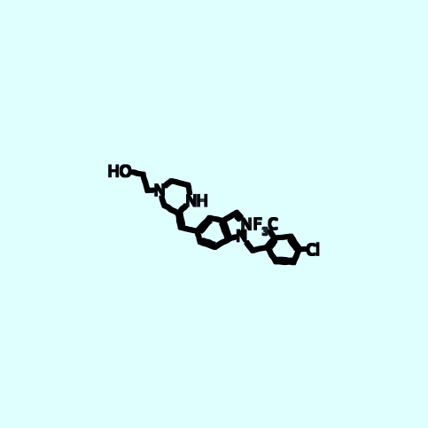 OCCN1CCNC(=Cc2ccc3c(cnn3Cc3ccc(Cl)cc3C(F)(F)F)c2)C1